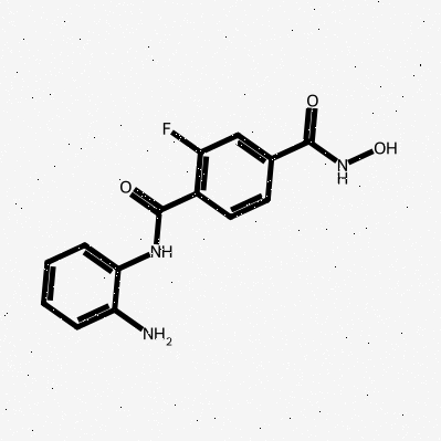 Nc1ccccc1NC(=O)c1ccc(C(=O)NO)cc1F